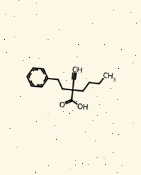 C#CC(CCCC)(CCc1ccccc1)C(=O)O